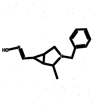 CC1C2C(C=NO)C2CN1Cc1ccccc1